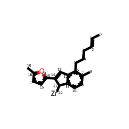 CC=CCCCc1c(C)ccc2c1C=C(c1ccc(C)o1)[CH]2[Zr]